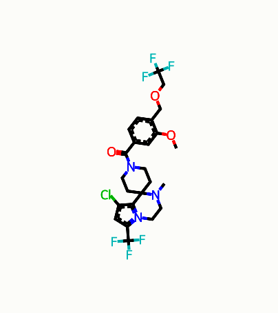 COc1cc(C(=O)N2CCC3(CC2)c2c(Cl)cc(C(F)(F)F)n2CCN3C)ccc1COCC(F)(F)F